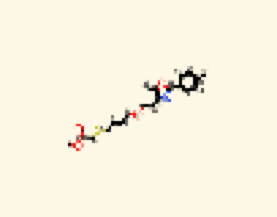 COC(=O)CSCC=CCOCCc1nc(-c2ccc(C)cc2)oc1C